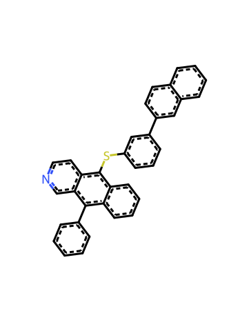 c1ccc(-c2c3ccccc3c(Sc3cccc(-c4ccc5ccccc5c4)c3)c3ccncc23)cc1